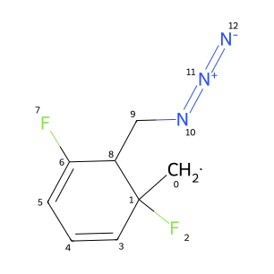 [CH2]C1(F)C=CC=C(F)C1CN=[N+]=[N-]